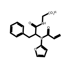 C=CC(=O)N(c1ccco1)C(Cc1ccccc1)C(=O)NCC(=O)O